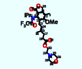 COc1c(C)c2c(c(N(C(=O)C(F)(F)F)C(C)C)c1C/C=C(\C)CCC(=O)OCCN1CCOCC1)C(=O)OC2